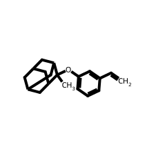 C=Cc1cccc(OC2(C)C3CC4CC(C3)CC2C4)c1